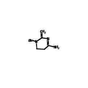 C=C1N=C(N)CCN1C(C)CC